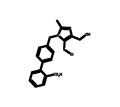 CCSc1c(CO)nc(C)n1Cc1ccc(-c2ccccc2C(=O)O)cc1